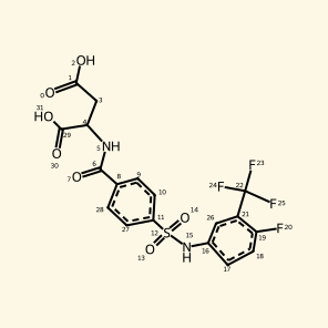 O=C(O)CC(NC(=O)c1ccc(S(=O)(=O)Nc2ccc(F)c(C(F)(F)F)c2)cc1)C(=O)O